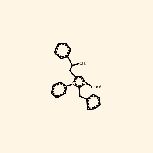 CCCCCn1cc(CC(C)c2ccccc2)[n+](-c2ccccc2)c1Cc1ccccc1